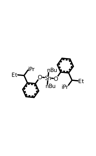 CCC[CH2][Sn]([CH2]CCC)([O]c1ccccc1C(CC)C(C)C)[O]c1ccccc1C(CC)C(C)C